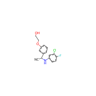 N#CC(Nc1ccc(F)c(Cl)c1)c1cccc(OCCO)c1